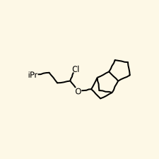 CC(C)CCC(Cl)OC1CC2CC1C1CCCC21